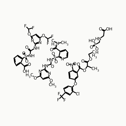 CCOC(=O)C(C)OC(=O)c1cc(Oc2ccc(C(F)(F)F)cc2Cl)ccc1[N+](=O)[O-].COc1cc(OC)nc(NC(=O)NS(=O)(=O)c2ncccc2C(=O)N(C)C)n1.O=C(Nc1nc(OC(F)F)cc(OC(F)F)n1)NS(=O)(=O)c1ccccc1C(=O)O.O=C(O)CNCP(=O)(O)O